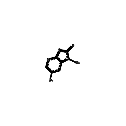 CCC(C)n1c(=O)sc2ncc(C(C)C)cc21